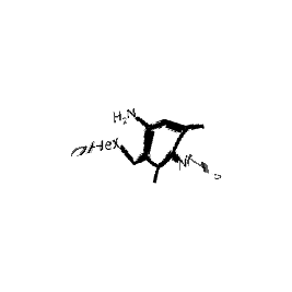 CCCCCCCc1c(N)cc(C)c(N)c1C